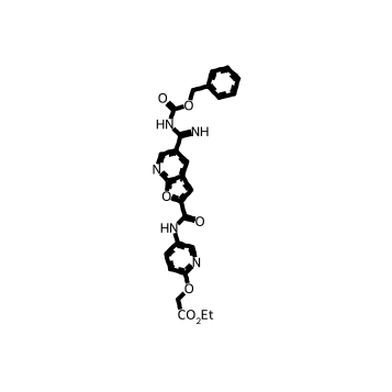 CCOC(=O)COc1ccc(NC(=O)c2cc3cc(C(=N)NC(=O)OCc4ccccc4)cnc3o2)cn1